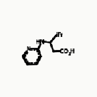 CC(C)C(CC(=O)O)Nc1ccccn1